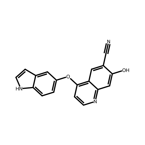 N#Cc1cc2c(Oc3ccc4[nH]ccc4c3)ccnc2cc1O